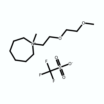 COCCOCC[N+]1(C)CCCCCC1.O=S(=O)([O-])C(F)(F)F